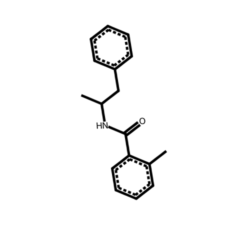 Cc1ccccc1C(=O)NC(C)Cc1ccccc1